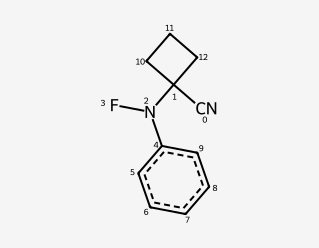 N#CC1(N(F)c2ccccc2)CCC1